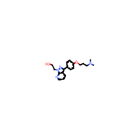 CN(C)CCCOc1ccc(-c2nn(CCO)c3ncccc23)cc1